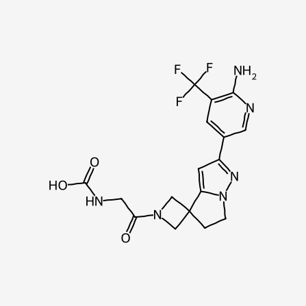 Nc1ncc(-c2cc3n(n2)CCC32CN(C(=O)CNC(=O)O)C2)cc1C(F)(F)F